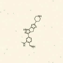 CNc1cc(-c2n[nH]c3c2Cc2sc(C4CCNCC4)cc2-3)ccc1C=N